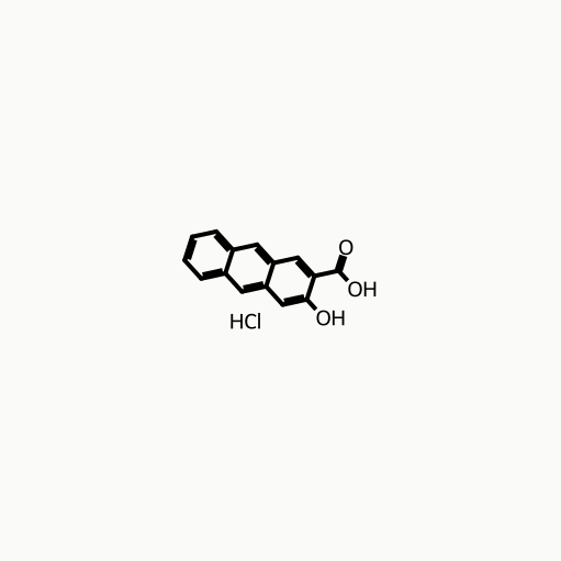 Cl.O=C(O)c1cc2cc3ccccc3cc2cc1O